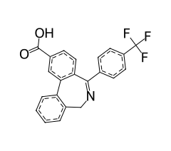 O=C(O)c1ccc2c(c1)-c1ccccc1CN=C2c1ccc(C(F)(F)F)cc1